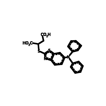 O=C(O)CC(Sc1nc2ccc(N(c3ccccc3)c3ccccc3)cc2s1)C(=O)O